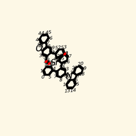 c1ccc2c(c1)-c1ccc(-n3c4ccccc4c4ccccc43)cc1-c1ccccc1[Si]21c2ccccc2-c2cc3oc4ccccc4c3cc2-c2ccccc21